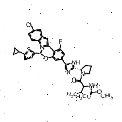 COC(=O)NC(C(=O)N1CCC[C@H]1c1ncc(-c2cc(F)c3c(c2)OC(c2ccc(C4CC4)s2)n2c-3cc3cc(Cl)ccc32)[nH]1)C(C)C